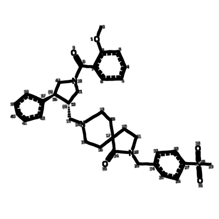 COc1ccccc1C(=O)N1C[C@H](CN2CCC3(CC2)CCN(Cc2ccc(S(C)(=O)=O)cc2)C3=O)[C@@H](c2ccccc2)C1